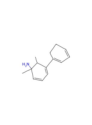 CC1C(C2=CC=CCC2)=CC=CC1(C)N